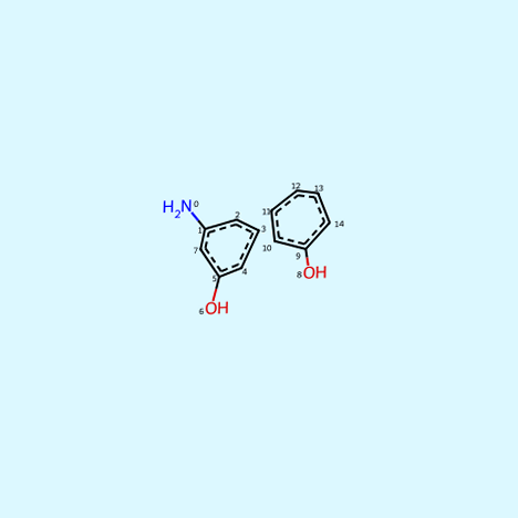 Nc1cccc(O)c1.Oc1ccccc1